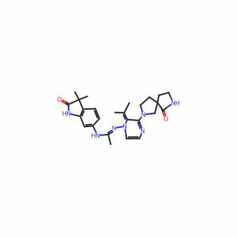 CC(C)=C1C(N2CCC3(CCNC3=O)C2)=NC=CN1/N=C(\C)Nc1ccc2c(c1)NC(=O)C2(C)C